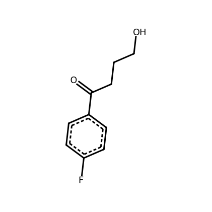 O=C(CCCO)c1ccc(F)cc1